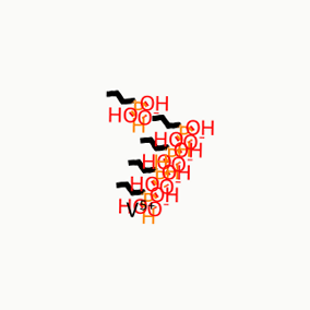 CCCC[PH]([O-])(O)O.CCCC[PH]([O-])(O)O.CCCC[PH]([O-])(O)O.CCCC[PH]([O-])(O)O.CCCC[PH]([O-])(O)O.[V+5]